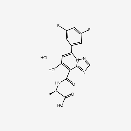 C[C@@H](NC(=O)c1c(O)cc(-c2cc(F)cc(F)c2)n2ncnc12)C(=O)O.Cl